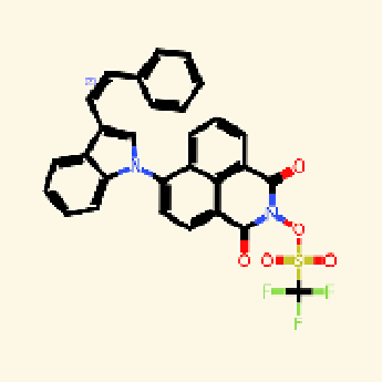 O=C1c2cccc3c(-n4cc(/C=C\c5ccccc5)c5ccccc54)ccc(c23)C(=O)N1OS(=O)(=O)C(F)(F)F